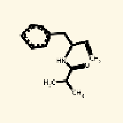 C=CC(Cc1ccccc1)NC(=O)C(C)C